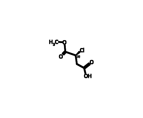 COC(=O)[C@@H](Cl)CC(=O)O